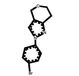 Brc1ccc(-n2cc3c(n2)CCOC3)cc1